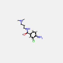 CN(C)CCCNC(=O)c1ccc(N)c(Cl)c1